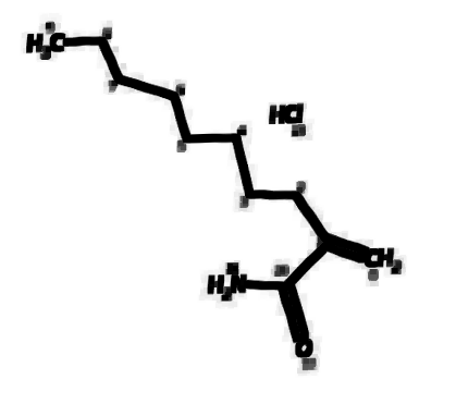 C=C(CCCCCCCC)C(N)=O.Cl